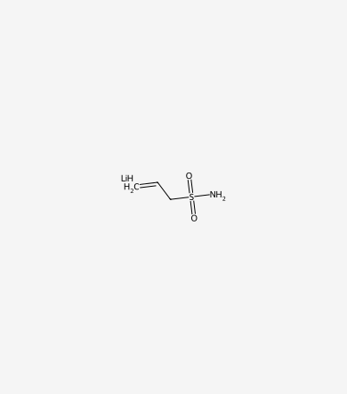 C=CCS(N)(=O)=O.[LiH]